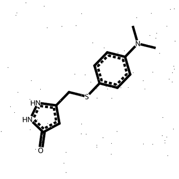 CN(C)c1ccc(SCc2cc(=O)[nH][nH]2)cc1